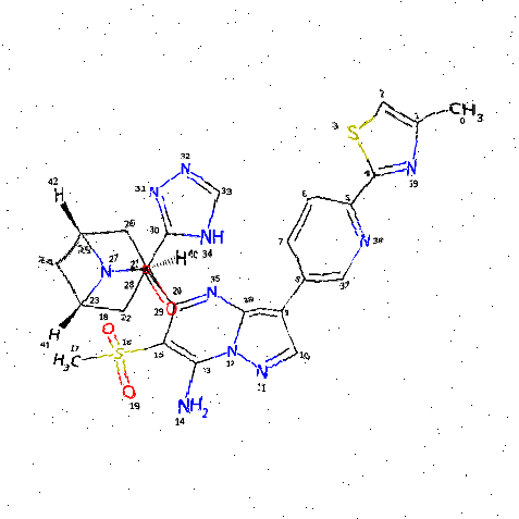 Cc1csc(-c2ccc(-c3cnn4c(N)c(S(C)(=O)=O)c([C@H]5C[C@@H]6C[C@H](C5)N6C(=O)c5nnc[nH]5)nc34)cn2)n1